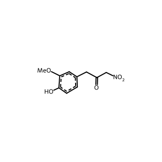 COc1cc(CC(=O)C[N+](=O)[O-])ccc1O